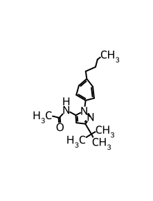 CCCCc1ccc(-n2nc(C(C)(C)C)cc2NC(C)=O)cc1